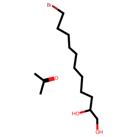 CC(C)=O.OCC(O)CCCCCCCCCBr